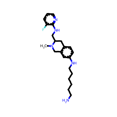 CN1Cc2cc(NCCCCCCN)ccc2CC1CNc1ncccc1F